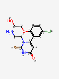 NCCn1c(-c2cc(Cl)ccc2OCCO)cc(=O)[nH]c1=S